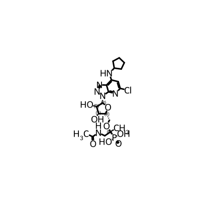 CC(=O)NC[C@](C)(OC[C@H]1O[C@@H](n2nnc3c(NC4CCCC4)cc(Cl)nc32)[C@H](O)[C@@H]1O)P(=O)(O)O